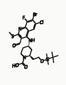 CSc1nc2c(F)c(Br)c(Cl)cc2c(N[C@H]2CCN(C(=O)O)[C@H](CCO[Si](C)(C)C(C)(C)C)C2)c1C=O